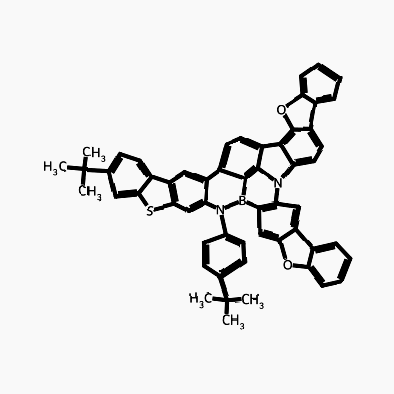 CC(C)(C)c1ccc(N2B3c4cc5oc6ccccc6c5cc4-n4c5ccc6c7ccccc7oc6c5c5ccc(c3c54)-c3cc4c(cc32)sc2cc(C(C)(C)C)ccc24)cc1